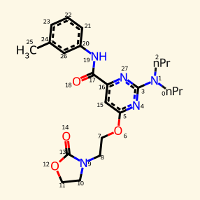 CCCN(CCC)c1nc(OCCN2CCOC2=O)cc(C(=O)Nc2cccc(C)c2)n1